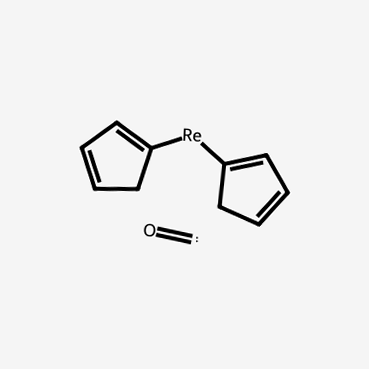 C1=CC[C]([Re][C]2=CC=CC2)=C1.[C]=O